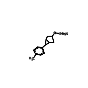 CCCCCCCOC1CC2C(C1)C2c1ccc(C)cc1